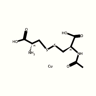 CC(=O)N[C@@H](CSSC[C@H](N)C(=O)O)C(=O)O.[Cu]